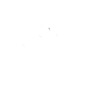 CC(C)(C)OC(=O)NCC(=O)NC[C@H](NC(=O)OCC1c2ccccc2-c2ccccc21)C(=O)O